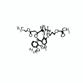 CCOC(=O)C[C@@H]1O[C@@H](c2cccc(OC)c2OC)c2cc(Cl)cc(OCCCOC(C)=O)c2-n2c1nnc2C(F)(F)F